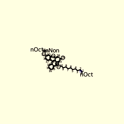 CCCCCCCC/C=C\CCCCCCCCOC(=O)c1ccccc1-c1c2ccc(=O)cc-2oc2cc(OC(CCCCCCCC)CCCCCCCCC)ccc12